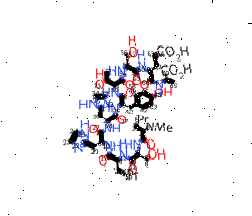 CN[C@@H](CC(C)C)C(=O)N[C@@H](CO)C(=O)N[C@@H](CC(C)C)C(=O)N[C@@H](Cc1ncc[nH]1)C(=O)N[C@@H](Cc1ncc[nH]1)C(=O)N[C@@H](Cc1ccc(O)cc1)C(=O)N[C@H](C(=O)N[C@@H](CO)C(=O)N[C@@H](CCC(=O)O)C(=O)N[C@@H](C)C(=O)O)C(C)O